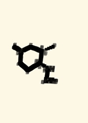 CNN[C@@H]1CCN(C)C[C@@H]1C